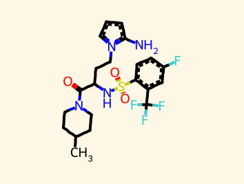 CC1CCN(C(=O)C(CCn2cccc2N)NS(=O)(=O)c2ccc(F)cc2C(F)(F)F)CC1